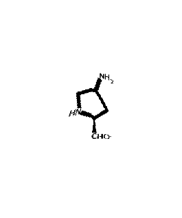 NC1CN[C@H]([C]=O)C1